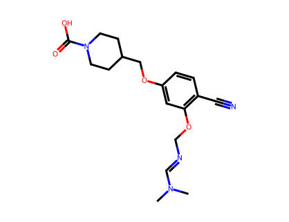 CN(C)C=NCOc1cc(OCC2CCN(C(=O)O)CC2)ccc1C#N